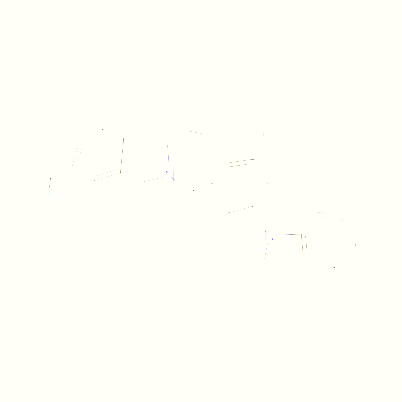 Fc1ccc2c(ccn2-c2cc(Cl)c3c(c2)CN(Cc2cccc(C(F)F)c2)CCO3)c1